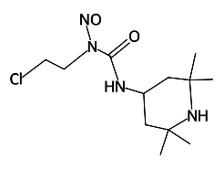 CC1(C)CC(NC(=O)N(CCCl)N=O)CC(C)(C)N1